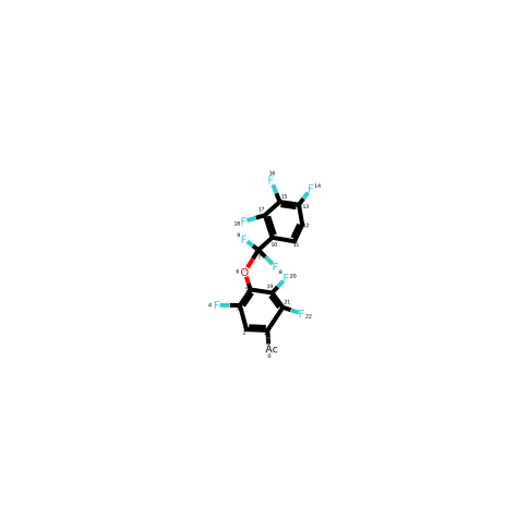 CC(=O)c1cc(F)c(OC(F)(F)c2ccc(F)c(F)c2F)c(F)c1F